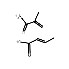 C=C(C)C(N)=O.CC=CC(=O)O